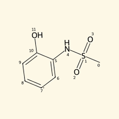 CS(=O)(=O)Nc1c[c]ccc1O